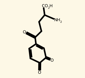 NC(CCC(=O)C1=CC(=O)C(=O)C=C1)C(=O)O